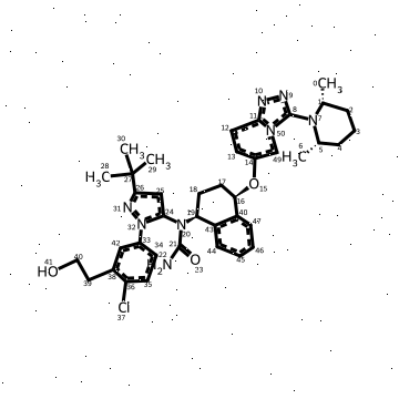 C[C@@H]1CCC[C@H](C)N1c1nnc2ccc(O[C@@H]3CC[C@H](N(C(N)=O)c4cc(C(C)(C)C)nn4-c4ccc(Cl)c(CCO)c4)c4ccccc43)cn12